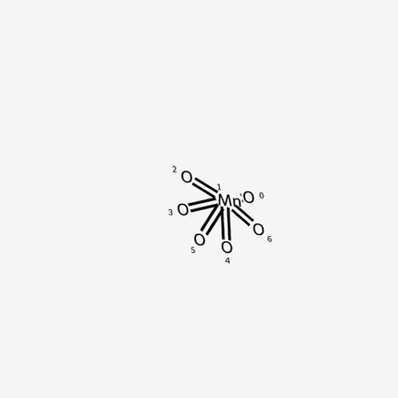 [O]=[Mn](=[O])(=[O])(=[O])(=[O])=[O]